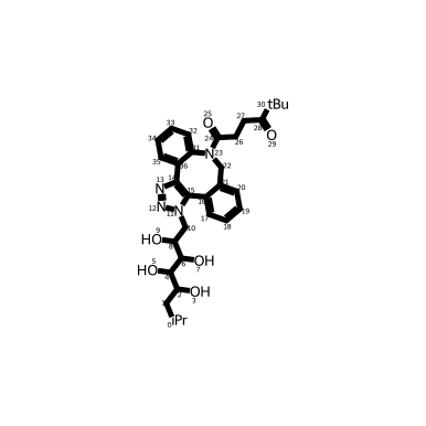 CC(C)CC(O)C(O)C(O)C(O)Cn1nnc2c1-c1ccccc1CN(C(=O)CCC(=O)C(C)(C)C)c1ccccc1-2